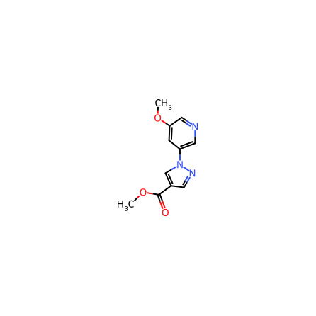 COC(=O)c1cnn(-c2cncc(OC)c2)c1